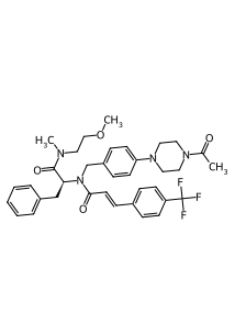 COCCN(C)C(=O)[C@H](Cc1ccccc1)N(Cc1ccc(N2CCN(C(C)=O)CC2)cc1)C(=O)C=Cc1ccc(C(F)(F)F)cc1